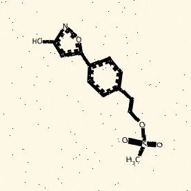 CS(=O)(=O)OCCc1ccc(-c2cc(O)no2)cc1